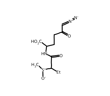 CCC(C(=O)NC(CCC(=O)C=[N+]=[N-])C(=O)O)[S+](C)[O-]